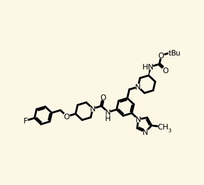 Cc1cn(-c2cc(CN3CCC[C@H](NC(=O)OC(C)(C)C)C3)cc(NC(=O)N3CCC(OCc4ccc(F)cc4)CC3)c2)cn1